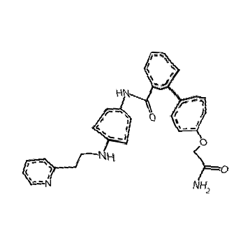 NC(=O)COc1ccc(-c2ccccc2C(=O)Nc2ccc(NCCc3ccccn3)cc2)cc1